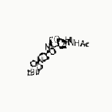 CC(=O)Nc1ccc(-c2oc(C3CCN(C(=O)OC(C)(C)C)CC3)nc2C(=O)O)cc1